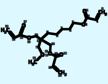 C=CC(=O)OCCCCCC(COC)(COC(=O)C=C)COC(=O)C=C